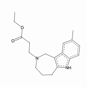 CCOC(=O)CCN1CCCc2[nH]c3ccc(C)cc3c2C1